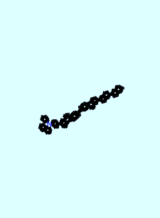 CC1(C)c2cc(-c3ccc(N(c4ccccc4)c4cccc5ccccc45)cc3)ccc2-c2ccc(-c3ccc4c(c3)C(C)(C)c3cc(-c5ccc6cc(-c7ccc8ccccc8c7)ccc6c5)ccc3-4)cc21